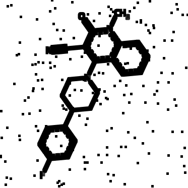 Cn1c(=O)c(C#N)c(N2CCC(c3ccc(F)cc3)CC2)c2ccccc21